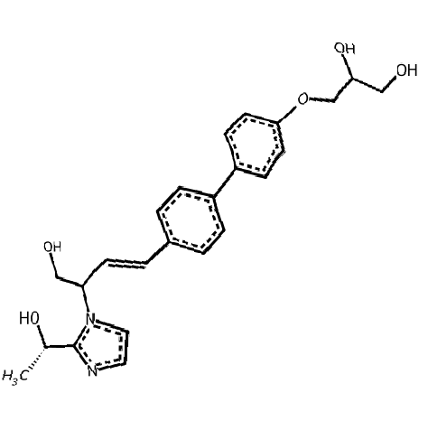 C[C@H](O)c1nccn1C(/C=C/c1ccc(-c2ccc(OCC(O)CO)cc2)cc1)CO